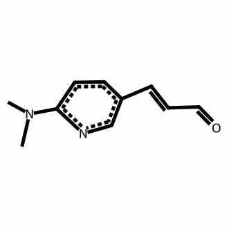 CN(C)c1ccc(/C=C/C=O)cn1